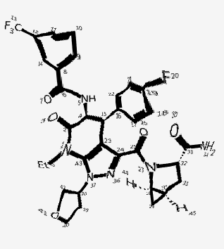 CCN1C(=O)[C@@H](NC(=O)c2cccc(C(F)(F)F)c2)[C@@H](c2ccc(F)cc2)c2c(C(=O)N3[C@@H]4C[C@@H]4C[C@H]3C(N)=O)nn(C3CCOC3)c21